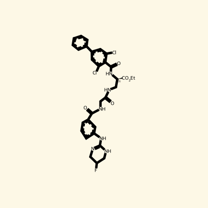 CCOC(=O)[C@H](CNC(=O)CNC(=O)c1cccc(NC2=NCC(F)CN2)c1)NC(=O)c1c(Cl)cc(-c2ccccc2)cc1Cl